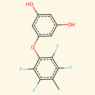 Cc1c(F)c(F)c(Oc2cc(O)cc(O)c2)c(F)c1F